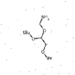 CC(C)OCC(OCN)OC(C)(C)C